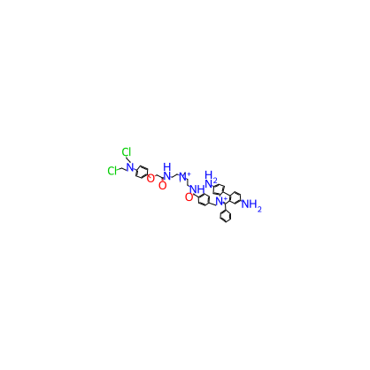 C[N+](C)(CCNC(=O)COc1ccc(N(CCCl)CCCl)cc1)CCNC(=O)c1ccc(C[n+]2c(-c3ccccc3)c3cc(N)ccc3c3ccc(N)cc32)cc1